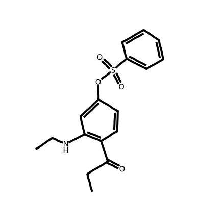 CCNc1cc(OS(=O)(=O)c2ccccc2)ccc1C(=O)CC